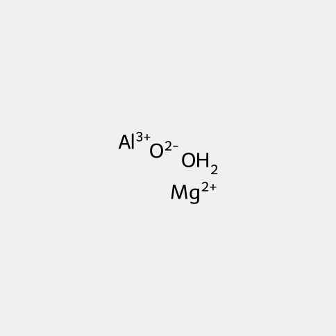 O.[Al+3].[Mg+2].[O-2]